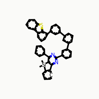 C[Si]1(C)c2ccccc2-c2nc(-c3cccc(-c4cccc(-c5cccc(-c6cccc7c6sc6ccccc67)c5)c4)c3)nc(-c3ccccc3)c21